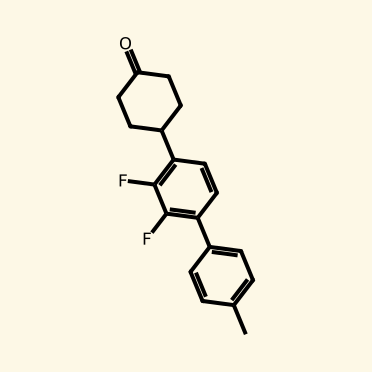 Cc1ccc(-c2ccc(C3CCC(=O)CC3)c(F)c2F)cc1